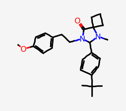 COc1ccc(CCN2C(=O)C3(CCC3)N(C)C2c2ccc(C(C)(C)C)cc2)cc1